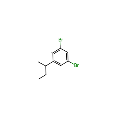 CCC(C)c1[c]c(Br)cc(Br)c1